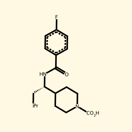 CC(C)C[C@H](NC(=O)c1ccc(F)cc1)C1CCN(C(=O)O)CC1